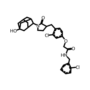 O=C(COc1ccc(CC2CCN(C3C4CC5CC3CC(O)(C5)C4)C2=O)c(Cl)c1)NCc1ccccc1Cl